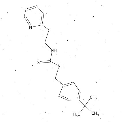 CC(C)(C)c1ccc(CNC(=S)NCCc2ccccn2)cc1